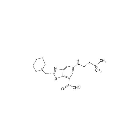 CN(C)CCNc1cc(C(=O)C=O)c2sc(CN3CCCCC3)nc2c1